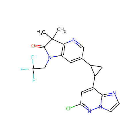 CC1(C)C(=O)N(CC(F)(F)F)c2cc(C3CC3c3cc(Cl)nn4ccnc34)cnc21